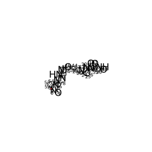 CN(C)C(=O)c1cc2cnc(Nc3ccc(OC4CC5(CCN(c6cccc7c6n(C)c(=O)n7[C@@H]6CCC(=O)NC6=O)CC5)C4)cn3)nc2n1C1CCCC1